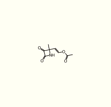 CC(=O)OC=CC1(C)NC(=O)C1=O